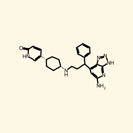 Nc1cc(C(CCN[C@H]2CC[C@@H](c3ccc(=O)[nH]c3)CC2)c2ccccc2)c2nn[nH]c2n1